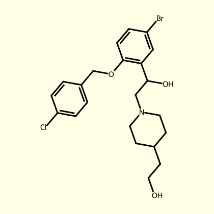 OCCC1CCN(CC(O)c2cc(Br)ccc2OCc2ccc(Cl)cc2)CC1